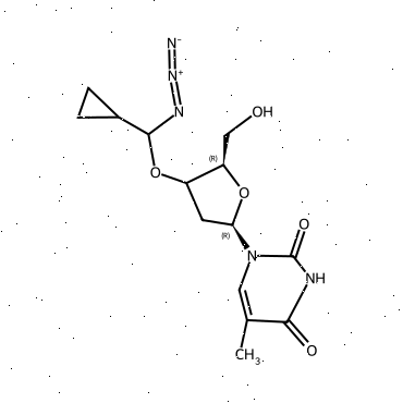 Cc1cn([C@H]2CC(OC(N=[N+]=[N-])C3CC3)[C@@H](CO)O2)c(=O)[nH]c1=O